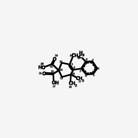 CC1=C(c2ccccc2C)C(C)(C)CC(C(=O)O)(C(=O)O)C1